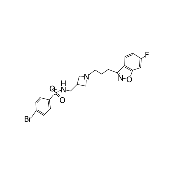 O=S(=O)(NCC1CN(CCCc2noc3cc(F)ccc23)C1)c1ccc(Br)cc1